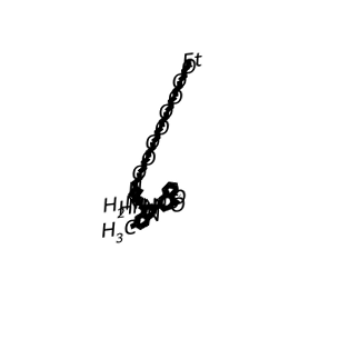 CCOCCOCCOCCOCCOCCOCCOCCOCCN1CC(N)(CNc2nc(N3CCS(=O)(=O)c4ccccc4C3)nc3ccc(C)cc23)C1